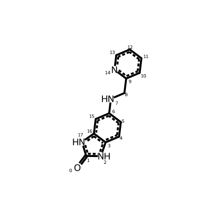 O=c1[nH]c2ccc(NCc3ccccn3)cc2[nH]1